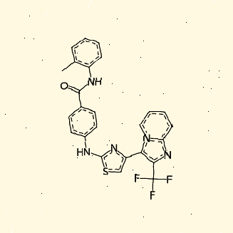 Cc1ccccc1NC(=O)c1ccc(Nc2nc(-c3c(C(F)(F)F)nc4ccccn34)cs2)cc1